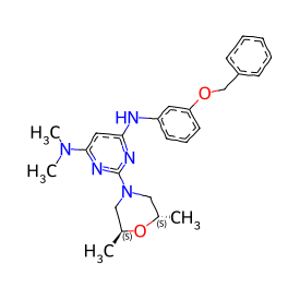 C[C@H]1CN(c2nc(Nc3cccc(OCc4ccccc4)c3)cc(N(C)C)n2)C[C@H](C)O1